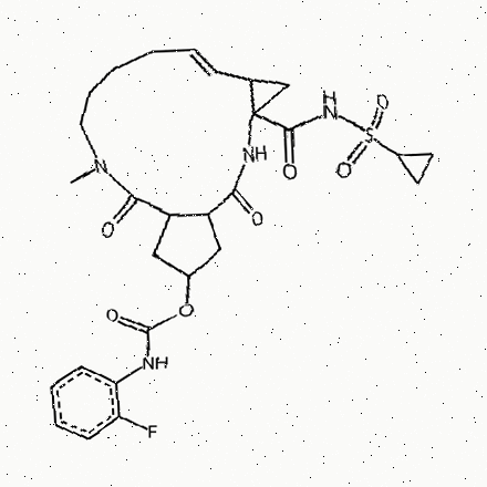 CN1CCCC/C=C/C2CC2(C(=O)NS(=O)(=O)C2CC2)NC(=O)C2CC(OC(=O)Nc3ccccc3F)CC2C1=O